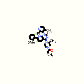 C=CC(=O)N1CCN(c2nc(=O)n(-c3c(C)ccnc3C(C)C)c3nc(-c4c(F)cccc4SC)c(F)cc23)C(C)C1